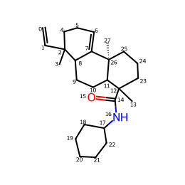 C=CC1(C)CCC=C2C1CCC1C(C)(C(=O)NC3CCCCC3)CCC[C@]21C